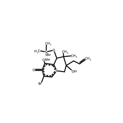 C=CCC1(O)Cn2cc(Br)c(=O)c(OC)c2C(O[Si](C)(C)C(C)(C)C)C1(C)C